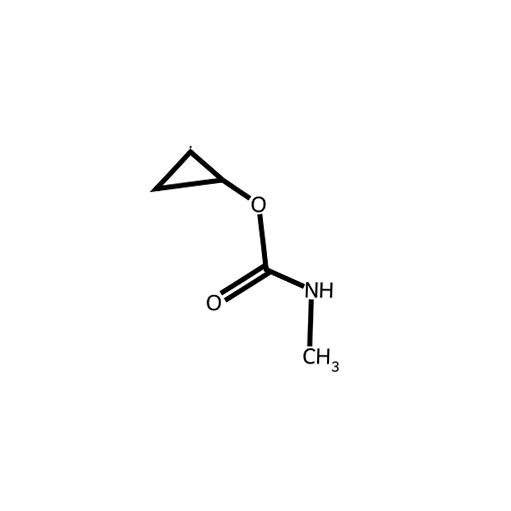 CNC(=O)OC1[CH]C1